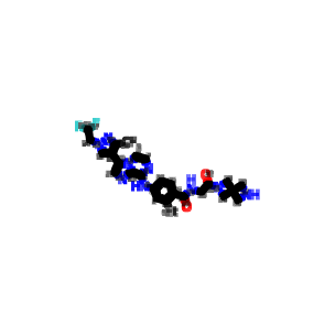 CCc1cc(Nc2nccn3c(-c4cn(CC(F)F)nc4C(F)(F)F)cnc23)ccc1C(=O)NCC(=O)N1CC2(CNC2)C1